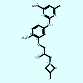 CNc1cc(C)nc(Nc2ccc(OC)c(OCC(O)CN3CC(C)C3)c2)n1